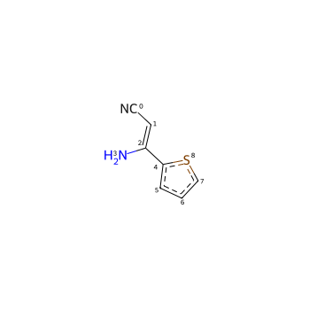 N#CC=C(N)c1cccs1